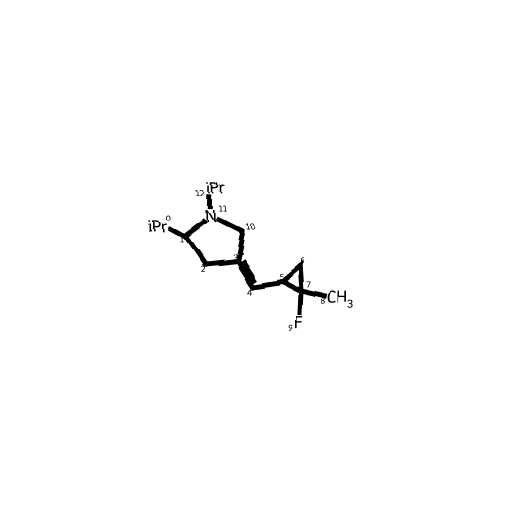 CC(C)C1C/C(=C/C2CC2(C)F)CN1C(C)C